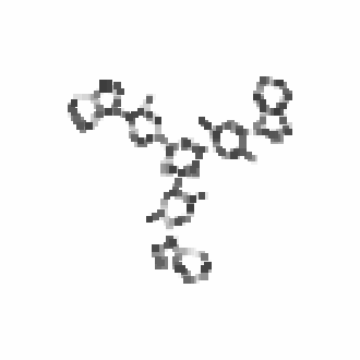 Cc1cc(-n2nnc3ccccc32)c(C)cc1-c1nc(-c2cc(C)c(-n3nnc4ccccc43)cc2C)nc(-c2cc(C)c(-n3nnc4ccccc43)cc2C)n1